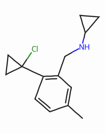 Cc1ccc(C2(Cl)CC2)c(CNC2CC2)c1